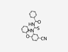 N#Cc1ccc(Oc2ccccc2)c(NC(=S)NC(=O)c2ccccc2)c1